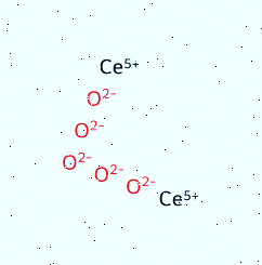 [Ce+5].[Ce+5].[O-2].[O-2].[O-2].[O-2].[O-2]